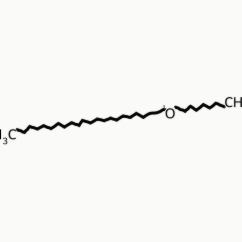 CCCCCCCCCCCCCCCCCCCCCCC[CH]OCCCCCCCCC